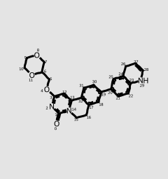 O=c1nc(OCC2COCCO2)cc2n1CCc1cc(-c3ccc4c(c3)CC=CN4)ccc1-2